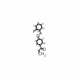 C=CC(=O)c1ccc(OCc2ccccc2F)cc1